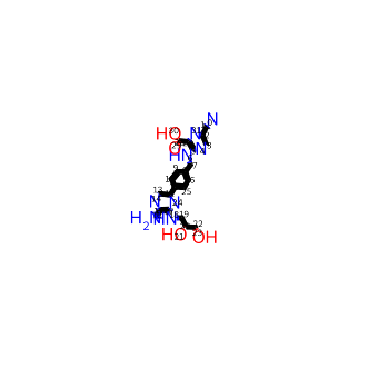 N#Cc1cnc(NCc2ccc(-c3cnc(N)c(NCC(O)CO)n3)cc2)c(C(=O)O)n1